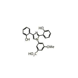 COc1cc(C(=O)O)cc(-n2cc(-c3ccccc3O)nc2-c2ccccc2O)c1